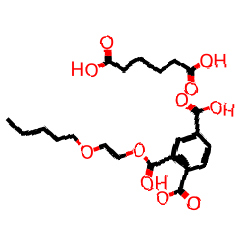 CCCCCOCCOC(=O)c1cc(C(=O)O)ccc1C(=O)O.O=C(O)CCCCC(=O)O